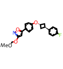 COCOc1cc(-c2ccc(O[C@H]3C[C@H](c4ccc(F)cc4)C3)cc2)on1